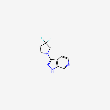 FC1(F)CCN(c2n[nH]c3cnccc23)C1